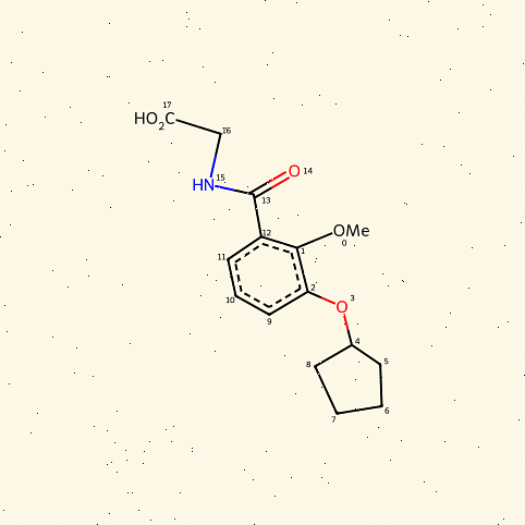 COc1c(OC2CCCC2)cccc1C(=O)NCC(=O)O